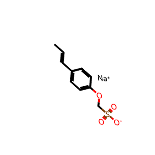 CC=Cc1ccc(OCS(=O)(=O)[O-])cc1.[Na+]